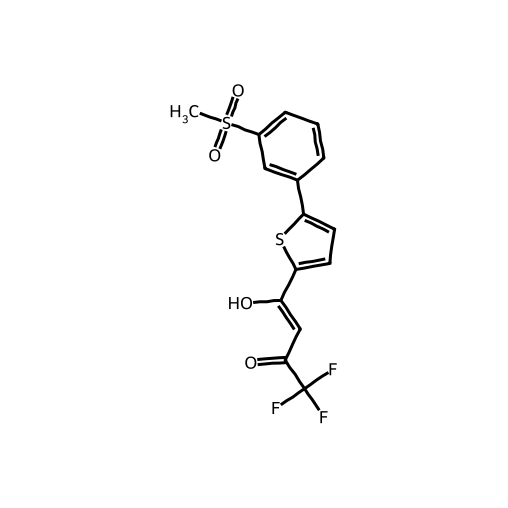 CS(=O)(=O)c1cccc(-c2ccc(/C(O)=C/C(=O)C(F)(F)F)s2)c1